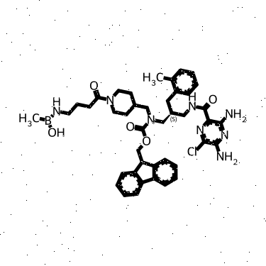 CB(O)NCCCC(=O)N1CCC(CN(C[C@H](CNC(=O)c2nc(Cl)c(N)nc2N)Cc2ccccc2C)C(=O)OCC2c3ccccc3-c3ccccc32)CC1